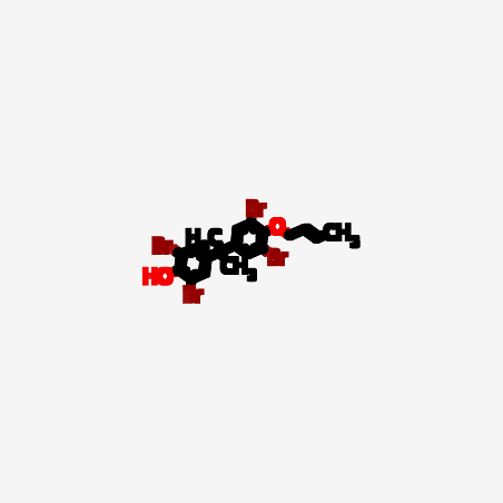 CC=CCOc1c(Br)cc(C(C)(C)c2cc(Br)c(O)c(Br)c2)cc1Br